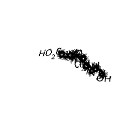 Cc1c(Nc2ncnc3cc(CN4CC[C@@H](O)C4)cnc23)cccc1-c1cccc(NC(=O)c2nc3c(n2C)CCN(CC2CCC(C(=O)O)CC2)C3)c1Cl